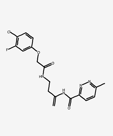 C=C(CCNC(=O)COc1ccc(Cl)c(F)c1)NC(=O)c1ccc(C)nn1